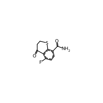 NC(=O)c1ccc(F)c2c1SCCC2=O